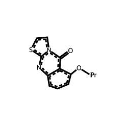 CC(C)Oc1cccc2nc3sccn3c(=O)c12